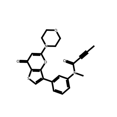 CC#CC(=O)N(C)c1cccc(-c2csc3c(=O)cc(N4CCOCC4)oc23)c1